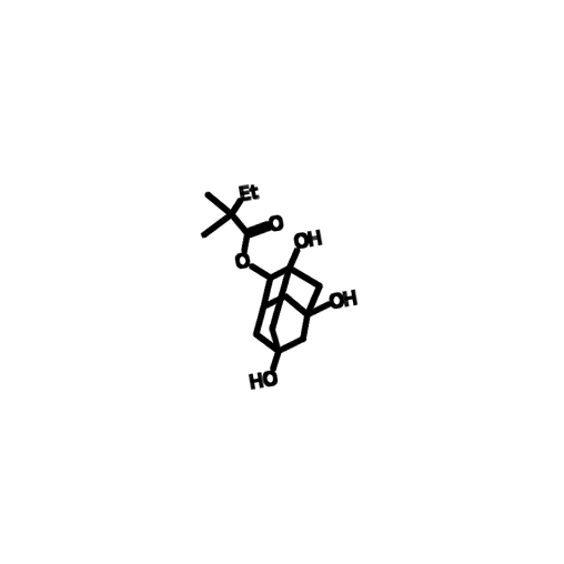 CCC(C)(C)C(=O)OC1C2CC3(O)CC(O)(C2)CC1(O)C3